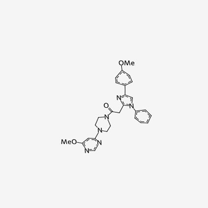 COc1ccc(-c2cn(-c3ccccc3)c(CC(=O)N3CCN(c4cc(OC)ncn4)CC3)n2)cc1